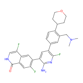 CN(C)Cc1cc(-c2cc(-c3cc4c(F)c[nH]c(=O)c4cc3F)c(N)nc2F)ccc1C1CCOCC1